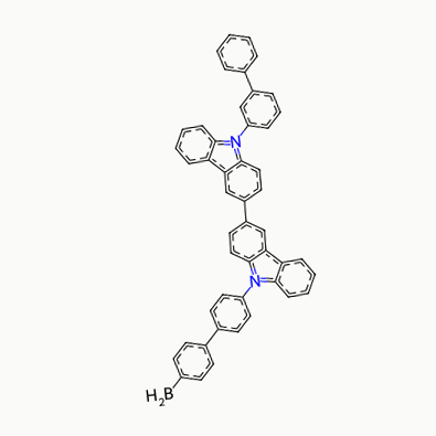 Bc1ccc(-c2ccc(-n3c4ccccc4c4cc(-c5ccc6c(c5)c5ccccc5n6-c5cccc(-c6ccccc6)c5)ccc43)cc2)cc1